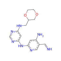 N=Cc1cnc(Nc2cc(NCC3COCCO3)ncn2)cc1N